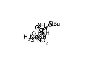 CC(CNc1ccc(C(N)=O)cc1[N+](=O)[O-])=C(C)CNc1c(OCCCO[Si](C)(C)C(C)(C)C)cc(C(N)=O)cc1[N+](=O)[O-]